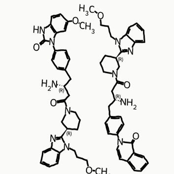 COCCCn1c([C@@H]2CCCN(C(=O)C[C@H](N)Cc3ccc(-n4c(=O)[nH]c5ccc(OC)cc54)cc3)C2)nc2ccccc21.COCCCn1c([C@@H]2CCCN(C(=O)C[C@H](N)Cc3ccc(-n4ccc5ccccc5c4=O)cc3)C2)nc2ccccc21